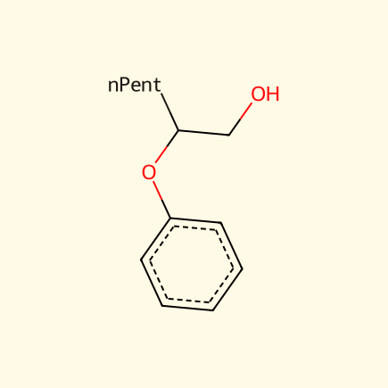 CCCCCC(CO)Oc1ccccc1